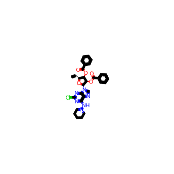 C=C[C@H]1O[C@@H](n2cnc3c(NN4CCCCC4)nc(Cl)nc32)[C@H](OC(=O)c2ccccc2)[C@@H]1OC(=O)c1ccccc1